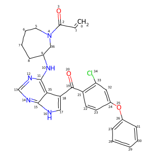 C=CC(=O)N1CCCCC(Nc2ncnc3[nH]cc(C(=O)c4ccc(Oc5ccccc5)cc4Cl)c23)C1